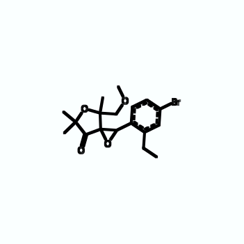 CCc1cc(Br)ccc1C1OC12C(=O)C(C)(C)OC2(C)COC